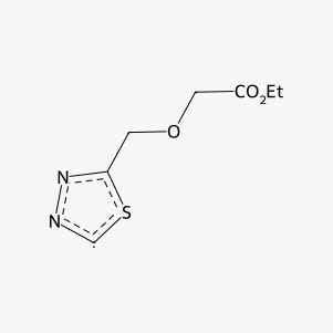 CCOC(=O)COCc1nn[c]s1